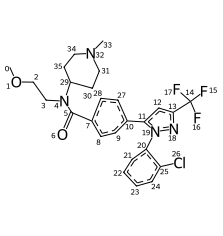 COCCN(C(=O)c1ccc(-c2cc(C(F)(F)F)nn2-c2ccccc2Cl)cc1)C1CCN(C)CC1